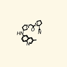 Cc1cnc2ccc(N[C@@H]3CCN(CC(=O)N4CCC[C@H]4C#N)C3)cc2c1